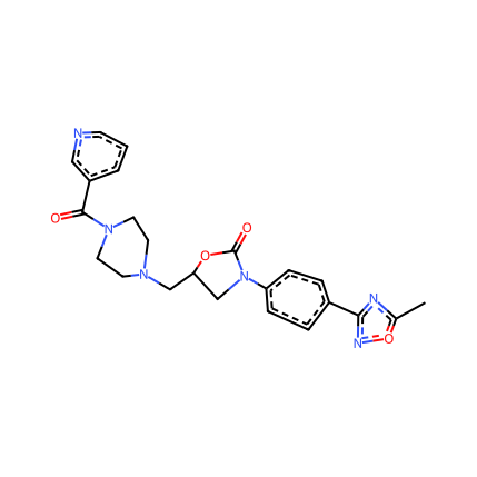 Cc1nc(-c2ccc(N3CC(CN4CCN(C(=O)c5cccnc5)CC4)OC3=O)cc2)no1